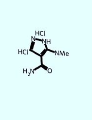 CNc1[nH]ncc1C(N)=O.Cl.Cl